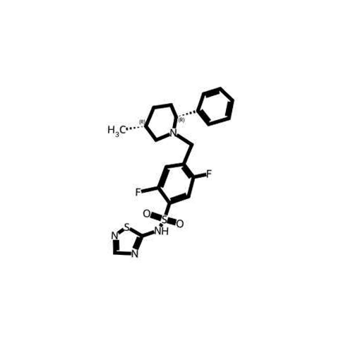 C[C@@H]1CC[C@H](c2ccccc2)N(Cc2cc(F)c(S(=O)(=O)Nc3ncns3)cc2F)C1